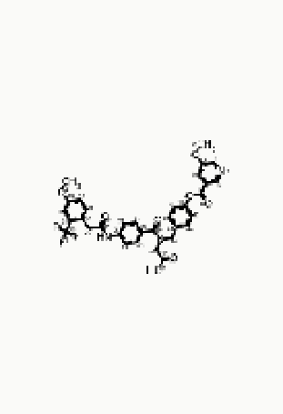 COc1cncc(C(=O)Oc2ccc(CN(CC(=O)O)C(=O)c3ccc(NC(=O)Cc4ccc(OC)cc4C(F)(F)F)cc3)cc2)c1